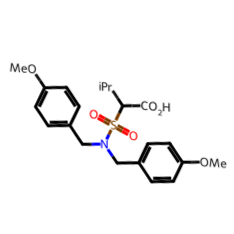 COc1ccc(CN(Cc2ccc(OC)cc2)S(=O)(=O)C(C(=O)O)C(C)C)cc1